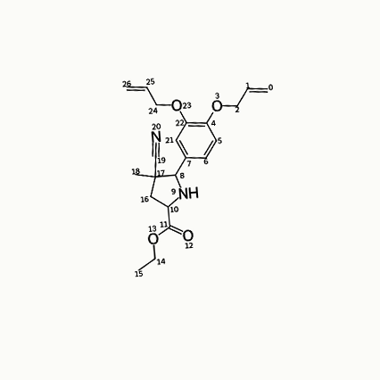 C=CCOc1ccc(C2NC(C(=O)OCC)CC2(C)C#N)cc1OCC=C